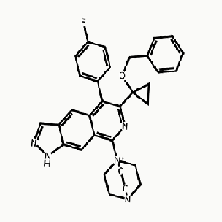 Fc1ccc(-c2c(C3(OCc4ccccc4)CC3)nc([N+]34CCN(CC3)CC4)c3cc4[nH]ncc4cc23)cc1